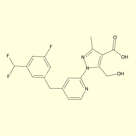 Cc1nn(-c2cc(Cc3cc(F)cc(C(F)F)c3)ccn2)c(CO)c1C(=O)O